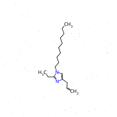 C=CCc1cn(CCCCCCCCCC)c(CC)n1